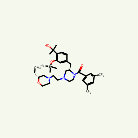 COC[C@@H]1CN(CCN2CCN(C(=O)c3cc(C(F)(F)F)cc(C(F)(F)F)c3)[C@H](Cc3ccc(C(C)(C)O)c(O[Si](C)(C)C(C)(C)C)c3)C2)CCO1